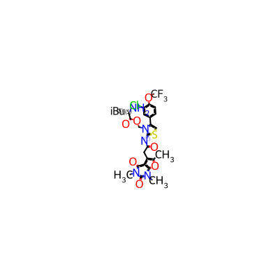 CC[C@H](C)[C@H](N)C(=O)OCn1c(-c2ccc(OC(F)(F)F)c(Cl)c2)cs/c1=N\C(=O)Cc1c(C)oc2c1c(=O)n(C)c(=O)n2C